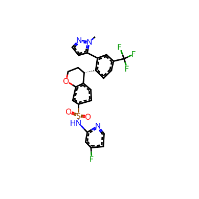 Cn1nccc1-c1cc(C(F)(F)F)ccc1[C@H]1CCOc2cc(S(=O)(=O)Nc3cc(F)ccn3)ccc21